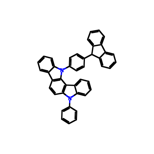 c1ccc(-n2c3ccccc3c3c2ccc2c4ccccc4n(-c4ccc(C5c6ccccc6-c6ccccc65)cc4)c23)cc1